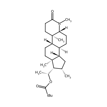 C[C@H]1C[C@H]2[C@@H]3CC[C@H]4N(C)C(=O)CC[C@]4(C)[C@H]3CC[C@]2(C)[C@H]1[C@@H](C)OC(=O)C(C)(C)C